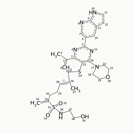 C=C(C)c1nc(-c2cnc3[nH]ccc3c2)nc(N2CCOCC2)c1SC/C(C)=C/CCC(=C)S(=O)(=O)NCCO